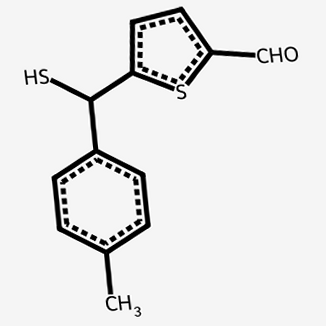 Cc1ccc(C(S)c2ccc(C=O)s2)cc1